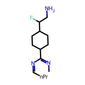 CCC/C=N\C(=N/C)C1CCC(C(F)CN)CC1